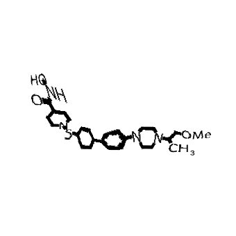 COCC(C)N1CCN(c2ccc(C3C=CC(SN4CC=C(C(=O)NO)CC4)CC3)cc2)CC1